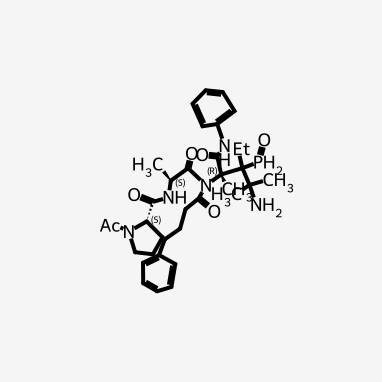 CCC([PH2]=O)(C(C)(C)N)[C@@](C)(C(=O)Nc1ccccc1)N(C(=O)CCCc1ccccc1)C(=O)[C@H](C)NC(=O)[C@@H]1CCCN1C(C)=O